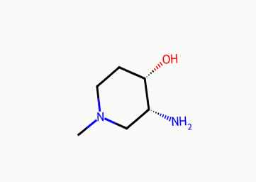 CN1CC[C@H](O)[C@H](N)C1